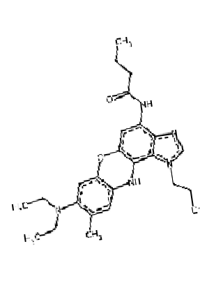 CCCC(=O)Nc1cc2c(c3c1ncn3CCC)Nc1cc(C)c(N(CC)CC)cc1O2